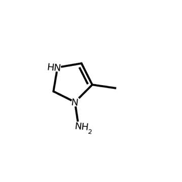 CC1=CNCN1N